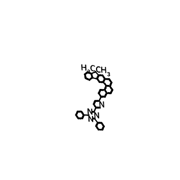 CC1(C)c2ccccc2-c2cc3c(ccc4ccc5cc(-c6ccc(-c7nc(-c8ccccc8)nc(-c8ccccc8)n7)cn6)ccc5c43)cc21